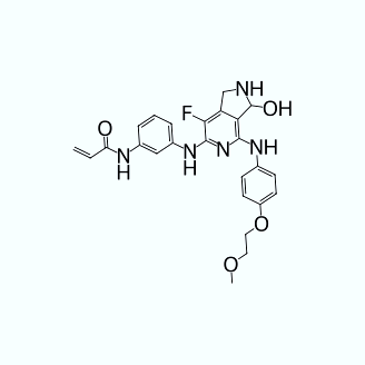 C=CC(=O)Nc1cccc(Nc2nc(Nc3ccc(OCCOC)cc3)c3c(c2F)CNC3O)c1